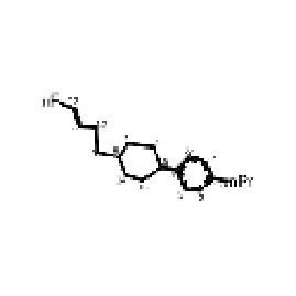 CCCc1ccc(C2CCC(CCC=CF)CC2)cc1